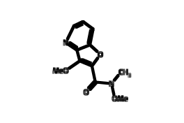 COc1c(C(=O)N(C)OC)oc2cccnc12